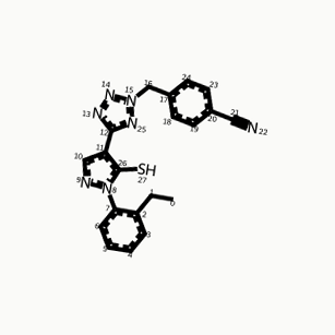 CCc1ccccc1-n1ncc(-c2nnn(Cc3ccc(C#N)cc3)n2)c1S